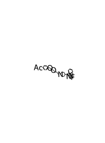 CC(=O)c1ccc(OCOCCCN2CCC(c3nn(F)c4ccccc34)CC2)cc1